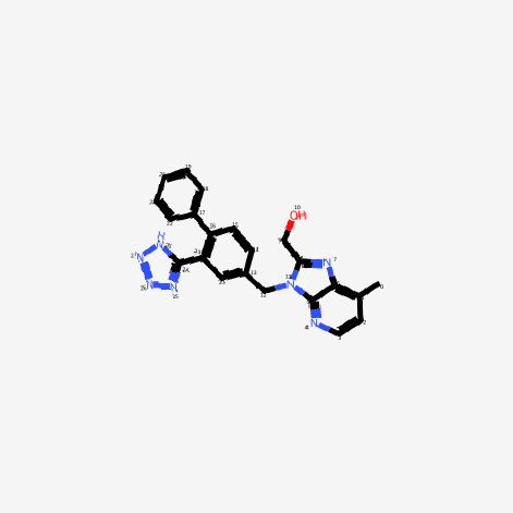 Cc1ccnc2c1nc(CO)n2Cc1ccc(-c2ccccc2)c(-c2nnn[nH]2)c1